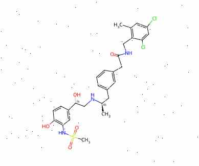 Cc1cc(Cl)cc(Cl)c1CNC(=O)Cc1cccc(C[C@@H](C)NC[C@@H](O)c2ccc(O)c(NS(C)(=O)=O)c2)c1